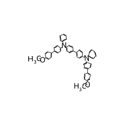 COc1ccc(-c2ccc(N(c3ccccc3)c3ccc(-c4ccc(N(c5ccccc5)c5ccc(-c6ccc(OC)cc6)cc5)cc4)cc3)cc2)cc1